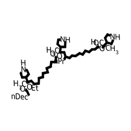 CCCCCCCCCCCC(=O)OC(C)(CC(CC)CCCCCCCCCC(=O)OC(C)(CC(CCC)CCCCCCCCCC(=O)OC(C)(C)C1CCNCC1)C1CCNCC1)C1CCNCC1